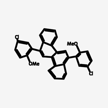 COc1ccc(Cl)cc1-c1cc2c3ccccc3c(-c3cc(Cl)ccc3OC)cc2c2ccccc12